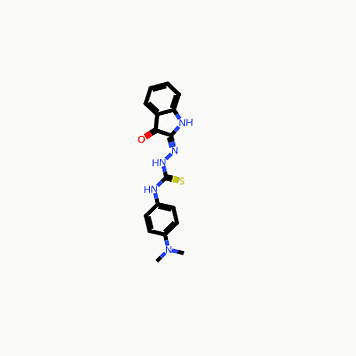 CN(C)c1ccc(NC(=S)NN=C2Nc3ccccc3C2=O)cc1